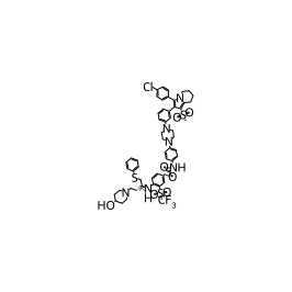 CS(=O)(=O)c1c(-c2cccc(N3CCN(c4ccc(NS(=O)(=O)c5ccc(N[C@H](CCN6CCC(O)CC6)CSc6ccccc6)c(S(=O)(=O)C(F)(F)F)c5)cc4)CC3)c2)c(-c2ccc(Cl)cc2)n2c1CCCC2